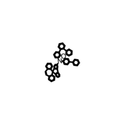 C1=Cc2ccccc2C2(c3ccccc31)c1ccccc1-c1cc(N(c3ccc(-c4ccccc4)cc3)c3cccc4c3Oc3ccccc3-c3ccccc3-4)ccc12